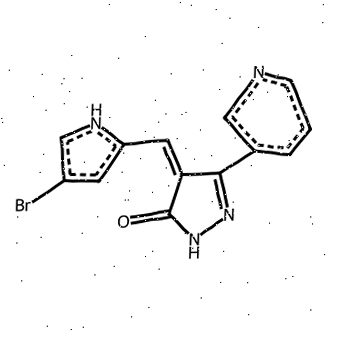 O=C1NN=C(c2cccnc2)C1=Cc1cc(Br)c[nH]1